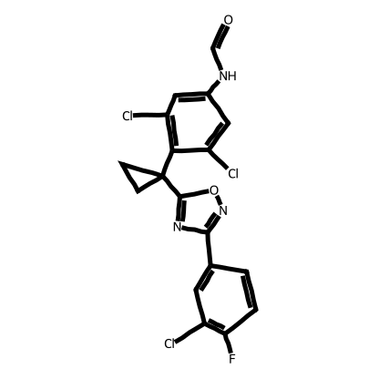 O=CNc1cc(Cl)c(C2(c3nc(-c4ccc(F)c(Cl)c4)no3)CC2)c(Cl)c1